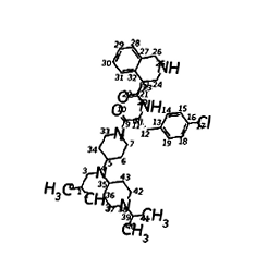 CC(C)CN(C1CCN(C(=O)[C@@H](Cc2ccc(Cl)cc2)NC(=O)[C@@H]2CNCc3ccccc32)CC1)C1CCN(C(C)C)CC1